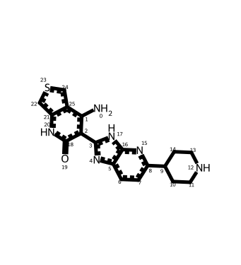 Nc1c(-c2nc3ccc(C4CCNCC4)nc3[nH]2)c(=O)[nH]c2cscc12